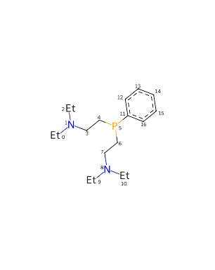 CCN(CC)CCP(CCN(CC)CC)c1ccccc1